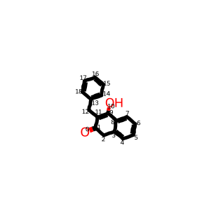 O=C1Cc2ccccc2C(O)=C1Cc1ccccc1